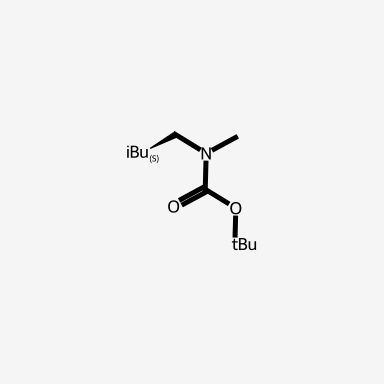 CC[C@H](C)CN(C)C(=O)OC(C)(C)C